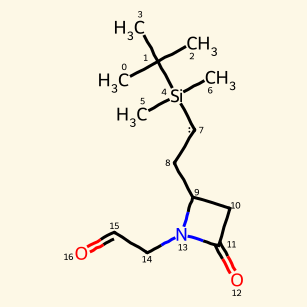 CC(C)(C)[Si](C)(C)[C]CC1CC(=O)N1CC=O